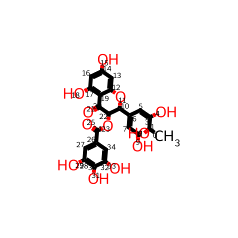 CC(O)/C(O)=C\C(=C/CO)C1Oc2cc(O)cc(O)c2C(=O)C1OC(=O)c1cc(O)c(O)c(O)c1